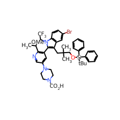 COC(C)c1ncc(N2CCN(C(=O)O)CC2)cc1-c1c(CC(C)(C)CO[Si](c2ccccc2)(c2ccccc2)C(C)(C)C)c2cc(Br)ccc2n1CC(F)(F)F